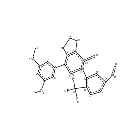 COc1cc(OC)cc(-c2cn(-c3cc(N=O)ccc3C(F)(F)F)c(=O)c3c2CCC3)c1